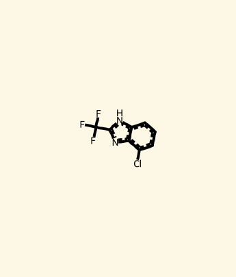 FC(F)(F)c1nc2c(Cl)cccc2[nH]1